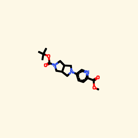 COC(=O)c1ccc(N2CC3CN(C(=O)OC(C)(C)C)CC3C2)cn1